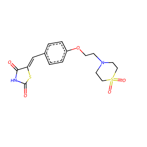 O=C1NC(=O)/C(=C/c2ccc(OCCN3CCS(=O)(=O)CC3)cc2)S1